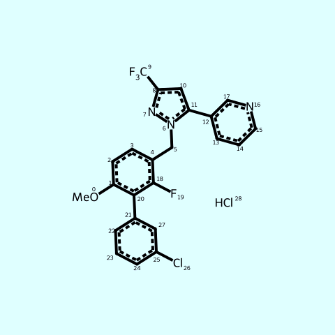 COc1ccc(Cn2nc(C(F)(F)F)cc2-c2cccnc2)c(F)c1-c1cccc(Cl)c1.Cl